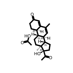 CC(=O)O.CC(=O)[C@@]1(O)CC[C@H]2[C@@H]3C=C(C)C4=CC(=O)CC[C@@H]4[C@H]3CC[C@@]21C